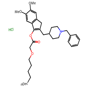 CCCCCCCCCCCCCCOCC(=O)OC1=C(CC2CCN(Cc3ccccc3)CC2)Cc2cc(OC)c(OC)cc21.Cl